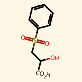 O=C(O)C(O)CS(=O)(=O)c1ccccc1